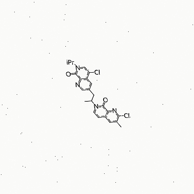 Cc1cc2ccn(C(C)Cc3cnc4c(=O)n(C(C)C)cc(Cl)c4c3)c(=O)c2nc1Cl